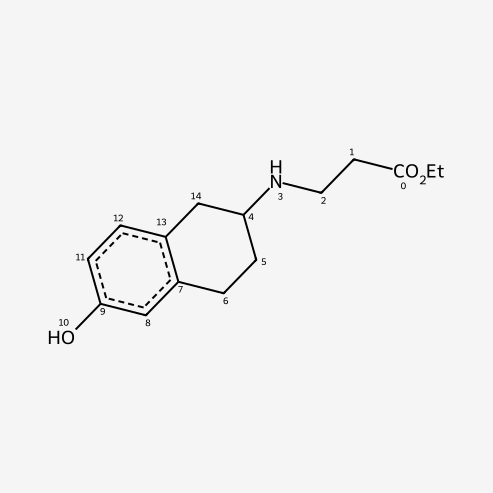 CCOC(=O)CCNC1CCc2cc(O)ccc2C1